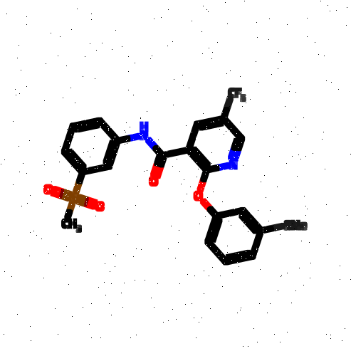 CSc1cccc(Oc2ncc(C(F)(F)F)cc2C(=O)Nc2cccc(S(C)(=O)=O)c2)c1